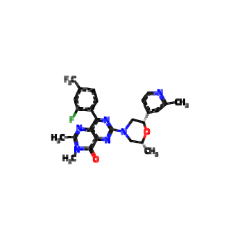 Cc1cc([C@H]2CN(c3nc(-c4ccc(C(F)(F)F)cc4F)c4nc(C)n(C)c(=O)c4n3)C[C@@H](C)O2)ccn1